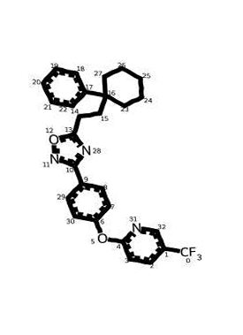 FC(F)(F)c1ccc(Oc2ccc(-c3noc(CCC4(c5ccccc5)CCCCC4)n3)cc2)nc1